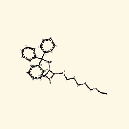 CCCCCCCCO[C@H]1NC(=O)[C@H]1NC(c1ccccc1)(c1ccccc1)c1ccccc1